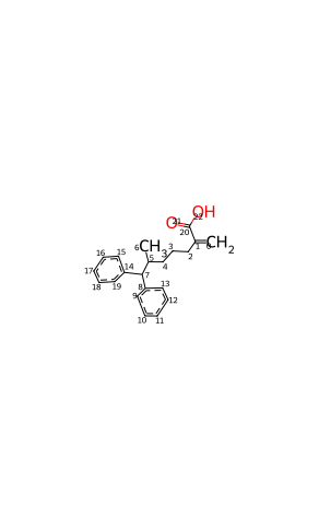 C=C(CCCC(C)C(c1ccccc1)c1ccccc1)C(=O)O